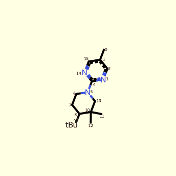 Cc1cnc(N2CCC(C(C)(C)C)C(C)(C)C2)nc1